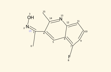 C/C(=N/O)c1cc2c(F)cccc2nc1C